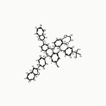 Cc1cc2c3c(c1)N(c1ccc(C(C)(C)C)cc1)c1c(ccc4c1OCCO4)B3c1cc(-c3cc4ccccc4o3)ccc1N2c1ccc(-c2cc3ccccc3o2)cc1